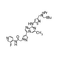 CCCN(Cc1cc(Nc2nc(C)cn3c(-c4cnn(CC(=O)Nc5ccncc5F)c4)cnc23)sn1)CC(C)(C)C